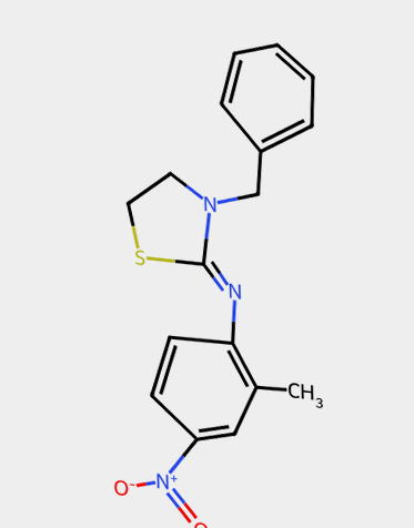 Cc1cc([N+](=O)[O-])ccc1/N=C1\SCCN1Cc1ccccc1